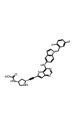 O=C(O)N[C@@H]1CN[C@H](C#Cc2cc3ncnc(Nc4ccc5c(ccn5Cc5cc(F)ccc5F)c4)c3s2)C1